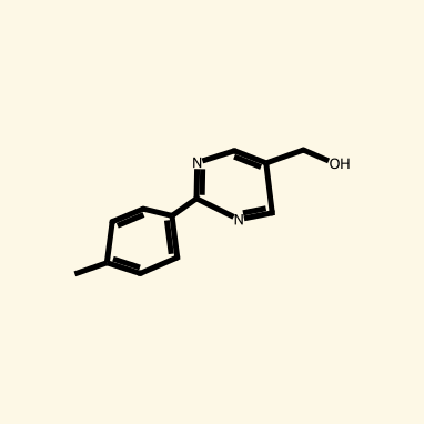 Cc1ccc(-c2ncc(CO)cn2)cc1